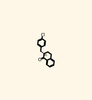 O=C1c2ccccc2CC[C@@H]1Cc1ccc(Cl)cc1